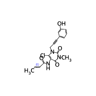 C/C=C/C(=O)Nc1c(Cl)n(CC#Cc2cccc(O)c2)c(=O)n(C)c1=O